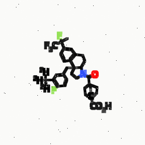 [2H]C([2H])([2H])c1cc(CC23CCN(C(=O)C45CCC(C(=O)O)(CC4)CC5)C2CCc2cc(C(C)(F)C(F)(F)F)ccc23)ccc1F